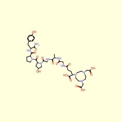 CC(NC(=O)CNC(=O)CCC(C(=O)O)N1CCN(CC(=O)O)CCN(CC(=O)O)CC1)C(=O)NCC(=O)N1C[C@@H](O)CC1C(=O)N1CCCC1C(=O)NC(Cc1ccc(O)cc1)C(N)=O